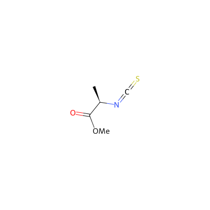 COC(=O)[C@@H](C)N=C=S